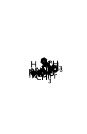 Cc1oc([C@@H](Cc2cn(C)c3ccccc23)NC(=O)[C@@H](C(=O)ON(C)C2CCCCC2)C(C)C)nc1-c1nnn[nH]1